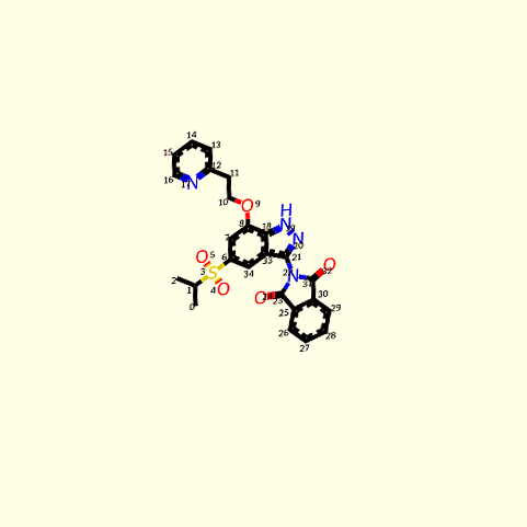 CC(C)S(=O)(=O)c1cc(OCCc2ccccn2)c2[nH]nc(N3C(=O)c4ccccc4C3=O)c2c1